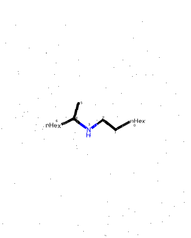 CCCCCCCCNC(C)CCCCCC